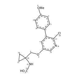 COc1ccc(-c2cc(OCC3(NC(=O)O)CC3)cnc2Cl)cc1